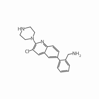 NCc1ccccc1-c1ccc2nc(N3CCNCC3)c(Cl)cc2c1